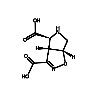 O=C(O)C1=NO[C@H]2CN[C@H](C(=O)O)[C@@H]12